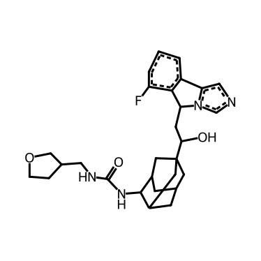 O=C(NCC1CCOC1)NC1C2CC3CC1CC(C(O)CC1c4c(F)cccc4-c4cncn41)(C3)C2